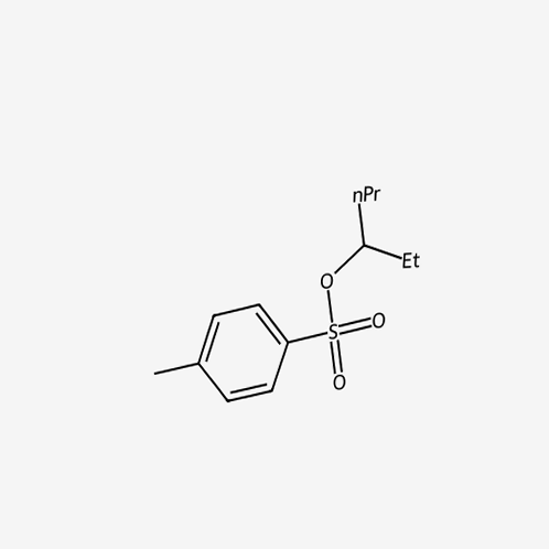 CCCC(CC)OS(=O)(=O)c1ccc(C)cc1